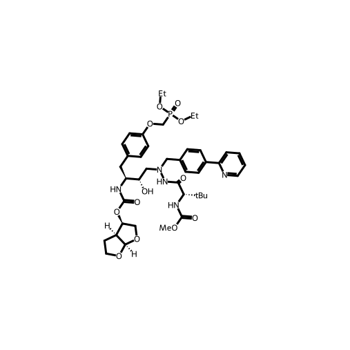 CCOP(=O)(COc1ccc(C[C@H](NC(=O)O[C@H]2CO[C@H]3OCC[C@H]32)[C@@H](O)CN(Cc2ccc(-c3ccccn3)cc2)NC(=O)[C@@H](NC(=O)OC)C(C)(C)C)cc1)OCC